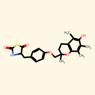 Cc1c(C)c2c(c(C)c1O)CCC(C)(COc1ccc(CC3NC(=O)SC3=O)cc1)O2